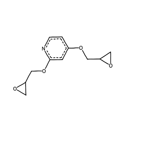 c1cc(OCC2CO2)cc(OCC2CO2)n1